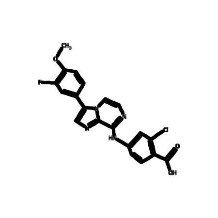 COc1ccc(-c2cnc3c(Nc4ccc(C(=O)O)c(Cl)c4)nccn23)cc1F